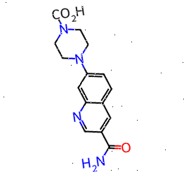 NC(=O)c1cnc2cc(N3CCN(C(=O)O)CC3)ccc2c1